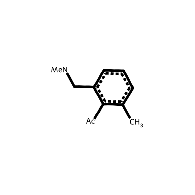 CNCc1cccc(C)c1C(C)=O